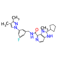 Cc1cn(-c2cc(F)cc(CNC(=O)c3nccc4c3N(C)C(C3CCCC3)N4)c2)nc1C